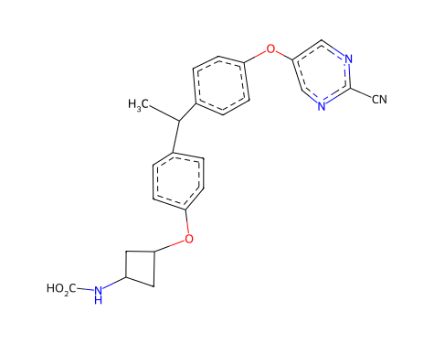 CC(c1ccc(Oc2cnc(C#N)nc2)cc1)c1ccc(OC2CC(NC(=O)O)C2)cc1